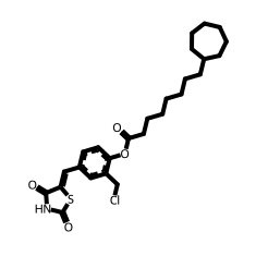 O=C(CCCCCCCC1CCCCCC1)Oc1ccc(/C=C2\SC(=O)NC2=O)cc1CCl